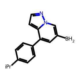 Bc1cc(-c2ccc(C(C)C)cc2)c2ccnn2c1